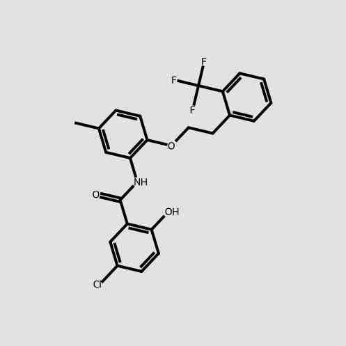 Cc1ccc(OCCc2ccccc2C(F)(F)F)c(NC(=O)c2cc(Cl)ccc2O)c1